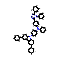 c1ccc(-c2ccc3c(c2)c2cc(-c4ccccc4)ccc2n3-c2ccc(N(c3ccccc3)c3ccc(-c4nnc(-c5ccccc5)n4-c4ccccc4)cc3)cc2)cc1